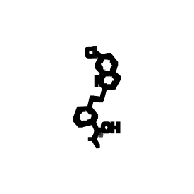 C[CH][C@H](O)c1cccc(C=Cc2ccc3ccc(Cl)cc3n2)c1